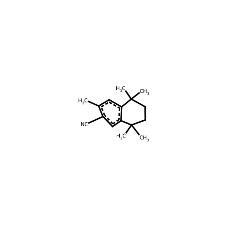 Cc1cc2c(cc1C#N)C(C)(C)CCC2(C)C